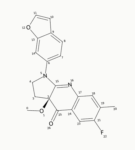 CO[C@@]12CCN(c3ccc4ccoc4c3)C1=Nc1cc(C)c(F)cc1C2=O